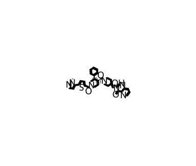 Cn1nccc1-c1ccc(C(=O)N2CC[C@@H](C(=O)N3CCC(O)(Cn4cnc5cccnc5c4=O)CC3)[C@H](c3ccccc3)C2)s1